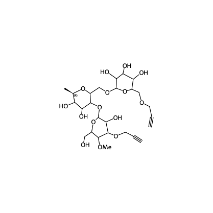 C#CCOCC1OC(OCC2O[C@H](C)C(O)C(O)C2OC2OC(CO)C(OC)C(OCC#C)C2O)C(O)C(O)C1O